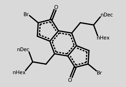 CCCCCCCCCCC(CCCCCC)Cc1c2cc(Br)c(=O)c2c(CC(CCCCCC)CCCCCCCCCC)c2cc(Br)c(=O)c12